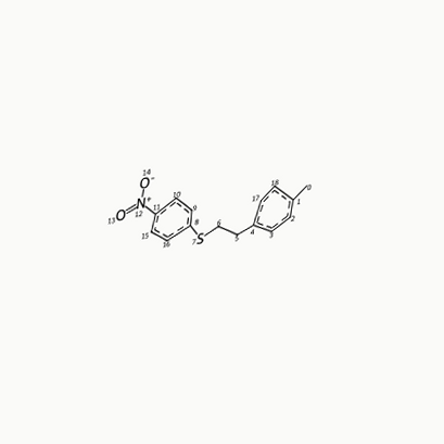 Cc1ccc(CCSc2ccc([N+](=O)[O-])cc2)cc1